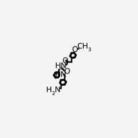 CCOc1ccc(CC(=O)CN[C@@H](Cc2ccccc2)C(=O)NCc2ccc(CN)cc2)cc1